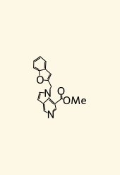 COC(=O)c1cncc2ccn(Cc3cc4ccccc4o3)c12